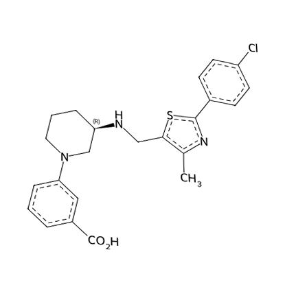 Cc1nc(-c2ccc(Cl)cc2)sc1CN[C@@H]1CCCN(c2cccc(C(=O)O)c2)C1